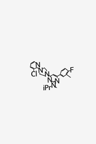 Cc1cc(-c2cc(N3CCN(c4ncccc4Cl)CC3)nc(N(C)C(C)C)n2)ccc1F